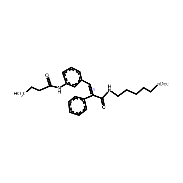 CCCCCCCCCCCCCCCNC(=O)/C(=C/c1cccc(NC(=O)CCC(=O)O)c1)c1ccccc1